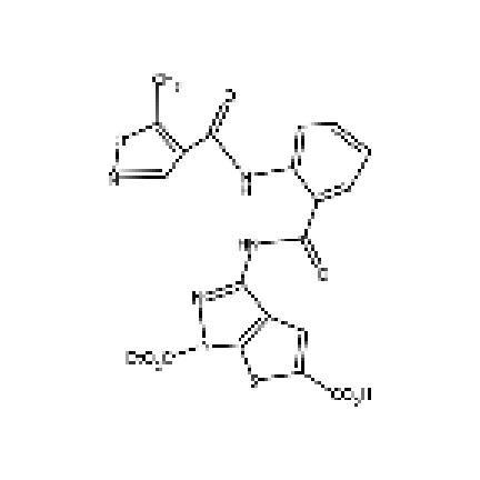 CCOC(=O)n1nc(NC(=O)c2ccccc2NC(=O)c2cnoc2C)c2cc(C(=O)O)sc21